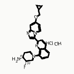 Cl.Cl.N[C@@H]1CCN(c2cccc3ccc(-c4cnc5cc(OCC6CC6)ccn45)nc23)C[C@@H]1F